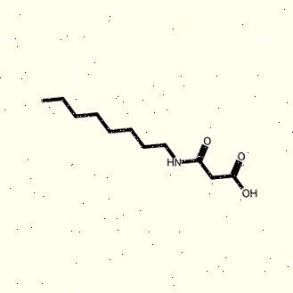 CCCCCCCCNC(=O)CC(=O)O